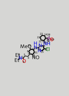 CCN(CC)C(=O)CCc1cc(OC)c(Nc2ncc(Cl)c(Nc3ccccc3P(C)(C)=O)n2)cc1N=O